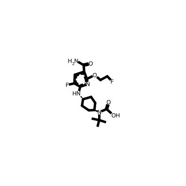 CC(C)(C)N(C(=O)O)[C@H]1CC[C@H](Nc2nc(OCCF)c(C(N)=O)cc2F)CC1